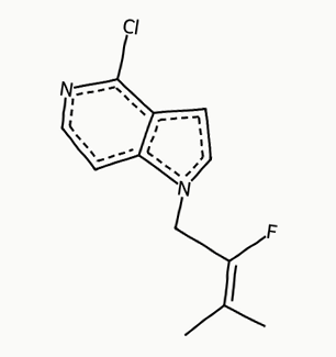 CC(C)=C(F)Cn1ccc2c(Cl)nccc21